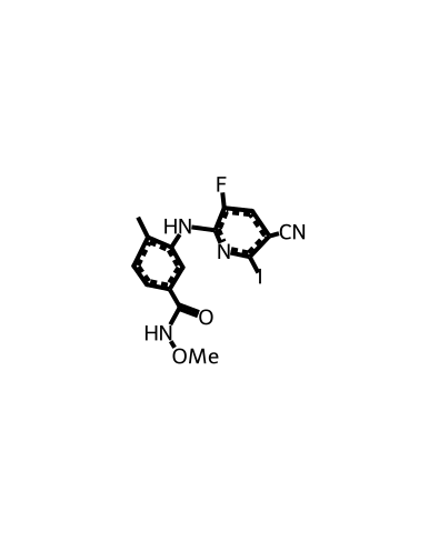 CONC(=O)c1ccc(C)c(Nc2nc(I)c(C#N)cc2F)c1